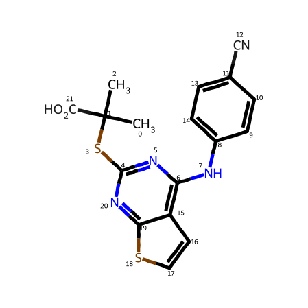 CC(C)(Sc1nc(Nc2ccc(C#N)cc2)c2ccsc2n1)C(=O)O